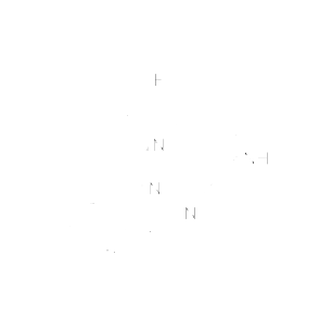 FC1CCN(c2nc(Cc3ccccc3)nc3c2CCNCC3)C1